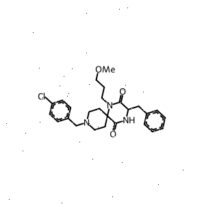 COCCCN1C(=O)C(Cc2ccccc2)NC(=O)C12CCN(Cc1ccc(Cl)cc1)CC2